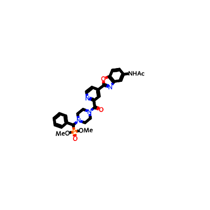 COP(=O)(OC)C(c1ccccc1)N1CCN(C(=O)c2cc(-c3nc4cc(NC(C)=O)ccc4o3)ccn2)CC1